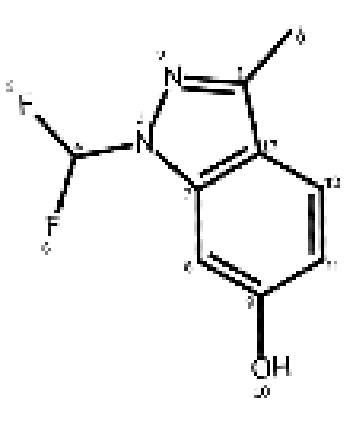 [CH2]c1nn(C(F)F)c2cc(O)ccc12